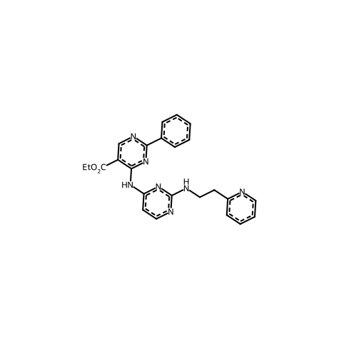 CCOC(=O)c1cnc(-c2ccccc2)nc1Nc1ccnc(NCCc2ccccn2)n1